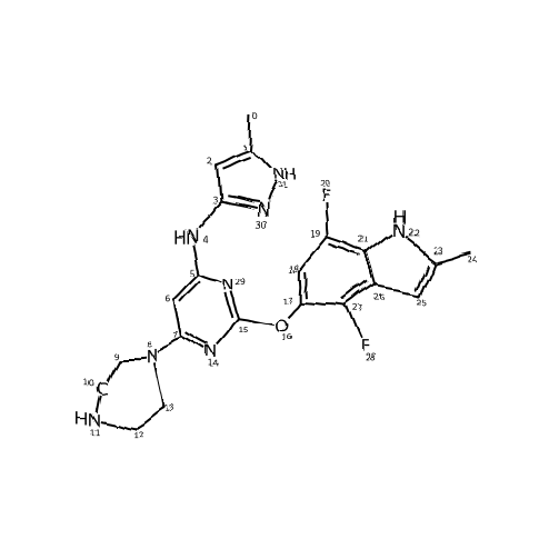 Cc1cc(Nc2cc(N3CCNCC3)nc(Oc3cc(F)c4[nH]c(C)cc4c3F)n2)n[nH]1